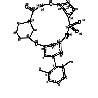 Cc1cccc(C)c1-c1cc2nc(n1)NS(=O)(=O)c1cnn(c1)CNC(=O)N1CCCC(C1)O2